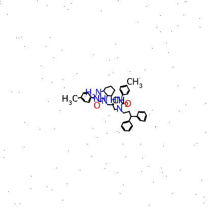 C=C(CN(CCC(c1ccccc1)c1ccccc1)C(=O)Nc1ccc(C)cc1)CN(C(=O)Nc1ccc(C)cc1)C1CCCCC1N